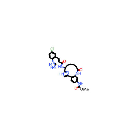 COC(=O)Nc1ccc2c(c1)NC(=O)CCCCC(NC(=O)C=Cc1cc(Cl)ccc1-n1cnnn1)c1nc-2c[nH]1